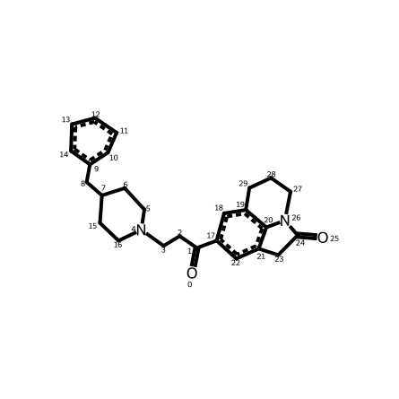 O=C(CCN1CCC(Cc2ccccc2)CC1)c1cc2c3c(c1)CC(=O)N3CCC2